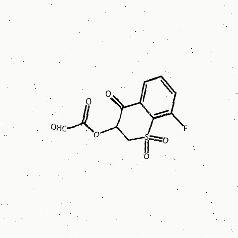 O=CC(=O)OC1CS(=O)(=O)c2c(F)cccc2C1=O